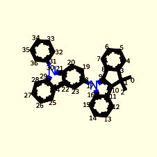 CC1(C)c2ccccc2-c2c1c1ccccc1n2-c1ccc2c(c1)c1ccccc1n2-c1ccccc1